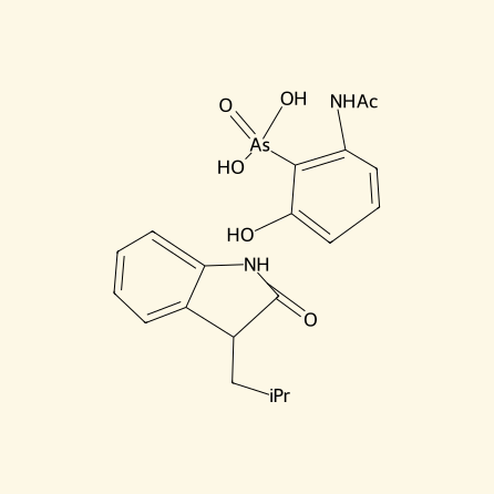 CC(=O)Nc1cccc(O)c1[As](=O)(O)O.CC(C)CC1C(=O)Nc2ccccc21